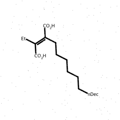 CCCCCCCCCCCCCCCCC(C(=O)O)=C(CC)C(=O)O